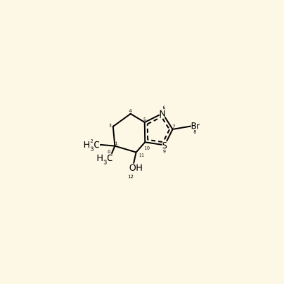 CC1(C)CCc2nc(Br)sc2C1O